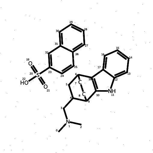 CN(C)CC1CC2CCC1c1[nH]c3ccccc3c12.O=S(=O)(O)c1ccc2ccccc2c1